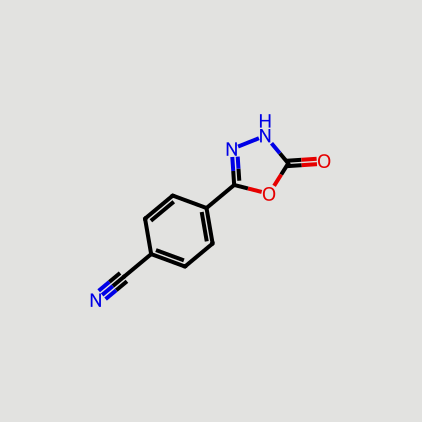 N#Cc1ccc(-c2n[nH]c(=O)o2)cc1